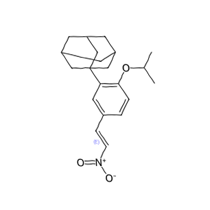 CC(C)Oc1ccc(/C=C/[N+](=O)[O-])cc1C12CC3CC(CC(C3)C1)C2